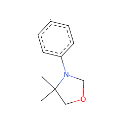 CC1(C)COCN1c1cc[c]cc1